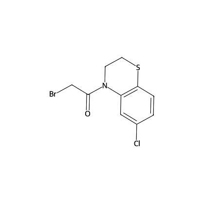 O=C(CBr)N1CCSc2ccc(Cl)cc21